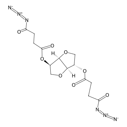 [N-]=[N+]=NC(=O)CCC(=O)O[C@H]1CO[C@H]2[C@@H]1OC[C@H]2OC(=O)CCC(=O)N=[N+]=[N-]